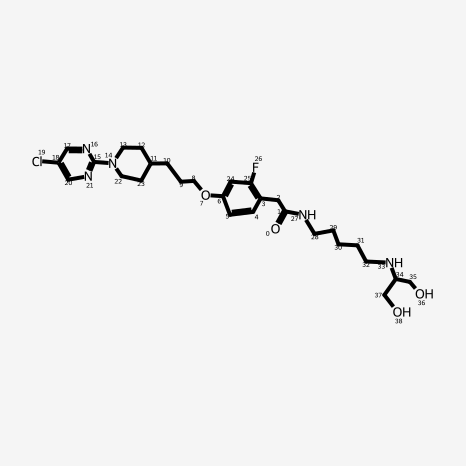 O=C(Cc1ccc(OCCCC2CCN(c3ncc(Cl)cn3)CC2)cc1F)NCCCCCNC(CO)CO